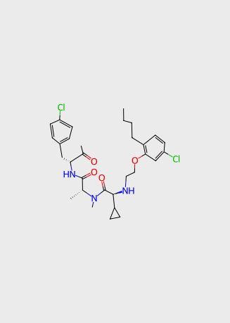 CCCCc1ccc(Cl)cc1OCCN[C@H](C(=O)N(C)[C@H](C)C(=O)N[C@H](Cc1ccc(Cl)cc1)C(C)=O)C1CC1